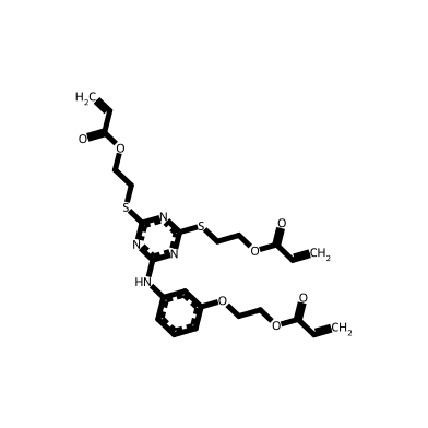 C=CC(=O)OCCOc1cccc(Nc2nc(SCCOC(=O)C=C)nc(SCCOC(=O)C=C)n2)c1